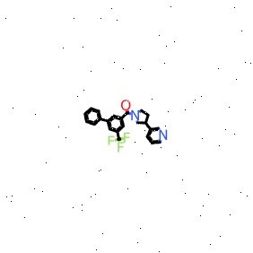 O=C(c1cc(-c2ccccc2)cc(C(F)(F)F)c1)N1CCC(c2cccnc2)C1